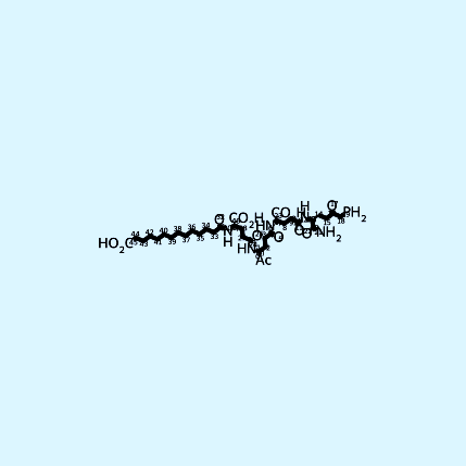 CC(=O)[C@H](CCC(=O)N[C@@H](CCC(=O)N[C@@H](CCC(=O)CP)C(N)=O)C(=O)O)NC(=O)CC[C@H](NC(=O)CCCCCCCCCCCCC(=O)O)C(=O)O